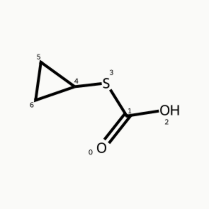 O=C(O)SC1CC1